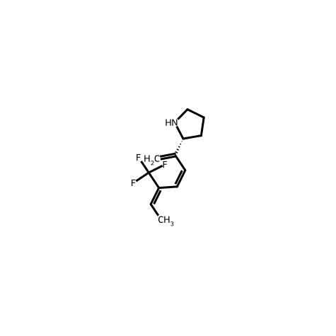 C=C(/C=C\C(=C/C)C(F)(F)F)[C@H]1CCCN1